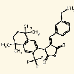 CCc1cccc(C=C2C(=O)SC(=O)N2c2cc3c(cc2C(F)(F)F)C(C)(C)CCC3(C)C)c1